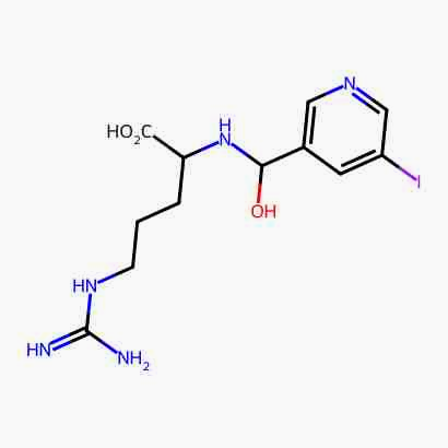 N=C(N)NCCCC(NC(O)c1cncc(I)c1)C(=O)O